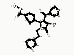 COC(=O)c1ccc(C2C(C(=O)c3ccncc3)=C(O)C(=O)N2CCc2cccnc2)cc1